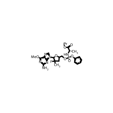 COc1nc(N)nc2c1ncn2C1OC(CO[P@@](=O)(N[C@@H](C)C(=O)OC(C)C)Oc2ccccc2)CC1(C)F